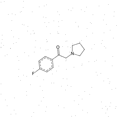 O=C(CN1C[CH]CC1)c1ccc(F)cc1